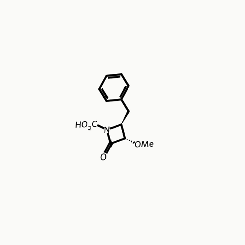 CO[C@@H]1C(=O)N(C(=O)O)[C@H]1Cc1ccccc1